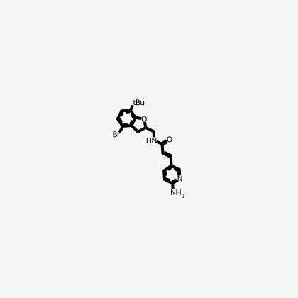 CC(C)(C)c1ccc(Br)c2c1OC(CNC(=O)/C=C/c1ccc(N)nc1)C2